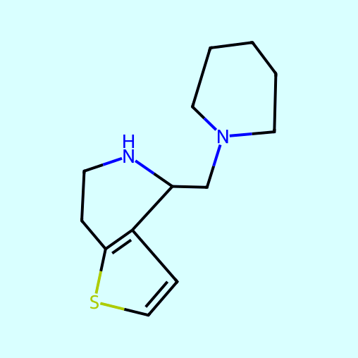 c1cc2c(s1)CCNC2CN1CCCCC1